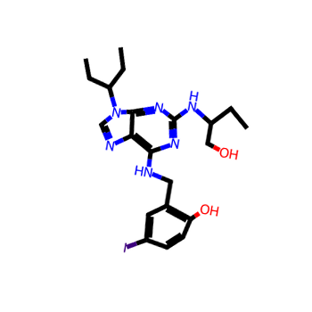 CCC(CO)Nc1nc(NCc2cc(I)ccc2O)c2ncn(C(CC)CC)c2n1